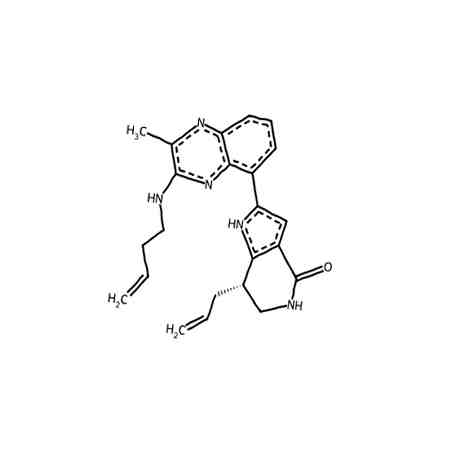 C=CCCNc1nc2c(-c3cc4c([nH]3)[C@@H](CC=C)CNC4=O)cccc2nc1C